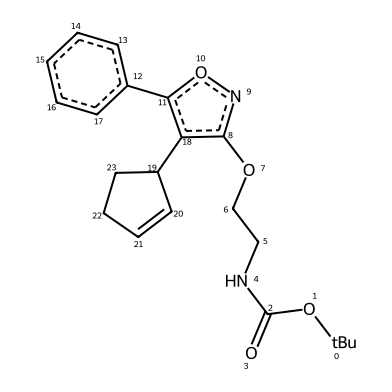 CC(C)(C)OC(=O)NCCOc1noc(-c2ccccc2)c1C1C=CCC1